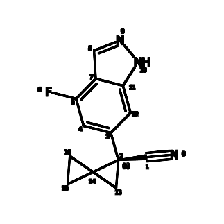 N#C[C@@]1(c2cc(F)c3cn[nH]c3c2)CC12CC2